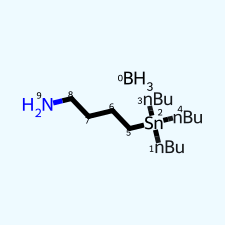 B.CCC[CH2][Sn]([CH2]CCC)([CH2]CCC)[CH2]CCCN